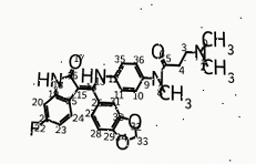 CN(C)CCC(=O)N(C)c1ccc(N/C(=C2\C(=O)Nc3cc(F)ccc32)c2ccc3c(c2)OCO3)cc1